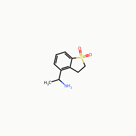 CC(N)c1cccc2c1CCS2(=O)=O